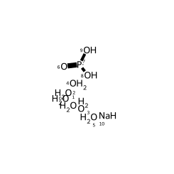 O.O.O.O.O.O.O=[P](O)O.[NaH]